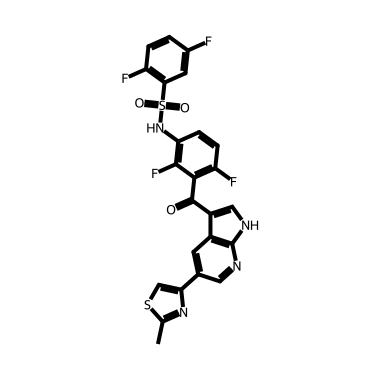 Cc1nc(-c2cnc3[nH]cc(C(=O)c4c(F)ccc(NS(=O)(=O)c5cc(F)ccc5F)c4F)c3c2)cs1